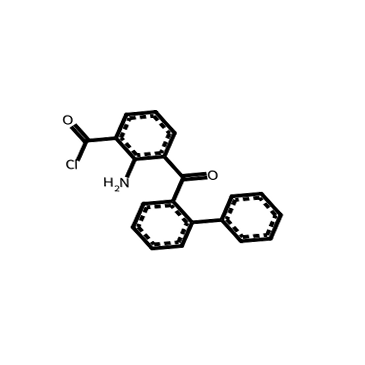 Nc1c(C(=O)Cl)cccc1C(=O)c1ccccc1-c1ccccc1